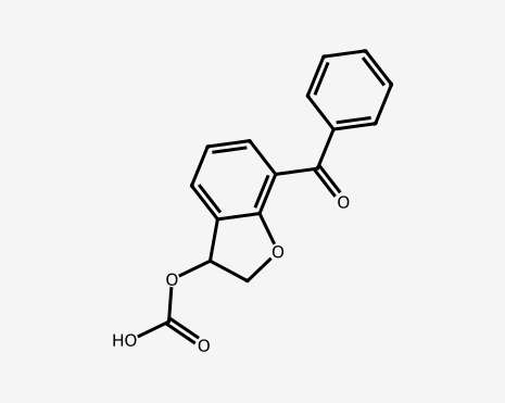 O=C(O)OC1COc2c(C(=O)c3ccccc3)cccc21